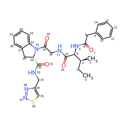 CC[C@H](C)[C@H](NC(=O)Cc1ccccc1)C(=O)NCC(=O)N1c2ccccc2C[C@H]1C(=O)NCc1csnn1